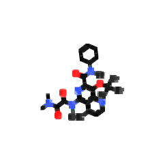 CCN(C(=O)c1nc(N(C)C(=O)C(=O)N(C)C)c2c(C=O)ccnc2c1O[Si](C(C)C)(C(C)C)C(C)C)C1CC=CCC1